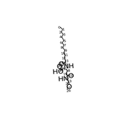 CCCCCCCCCCCCCCC(=O)N[C@@H](CCC(=O)NCCOC)C(=O)O